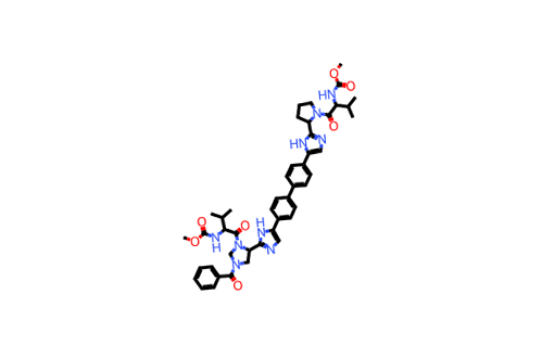 COC(=O)NC(C(=O)N1CCCC1c1ncc(-c2ccc(-c3ccc(-c4cnc(C5CN(C(=O)c6ccccc6)CN5C(=O)C(NC(=O)OC)C(C)C)[nH]4)cc3)cc2)[nH]1)C(C)C